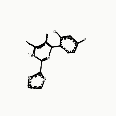 CC1=C(C)C(c2ccc(F)cc2Cl)N=C(c2nccs2)N1